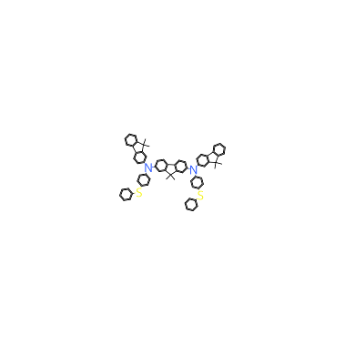 CC1(C)c2ccccc2-c2ccc(N(c3ccc(Sc4ccccc4)cc3)c3ccc4c(c3)C(C)(C)c3cc(N(c5ccc(Sc6ccccc6)cc5)c5ccc6c(c5)C(C)(C)c5ccccc5-6)ccc3-4)cc21